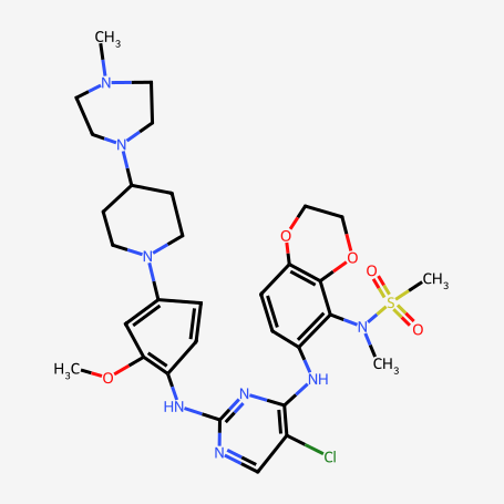 COc1cc(N2CCC(N3CCN(C)CC3)CC2)ccc1Nc1ncc(Cl)c(Nc2ccc3c(c2N(C)S(C)(=O)=O)OCCO3)n1